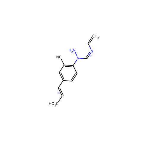 C=C/N=C\N(N)c1ccc(/C=C/C(=O)O)cc1C#N